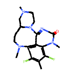 Cc1c(F)c2c3c(nc(=O)n(C)c3c1F)N1CCN(C)CC1CCN2C